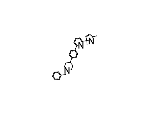 CC1=NC(C)(c2cccc(-c3ccc(C4CCN(Cc5ccccc5)CC4)cc3)n2)C=C1